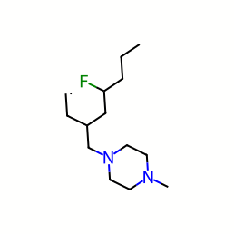 [CH2]CC(CC(F)CCC)CN1CCN(C)CC1